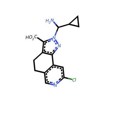 NC(C1CC1)n1nc2c(c1C(=O)O)CCc1cnc(Cl)cc1-2